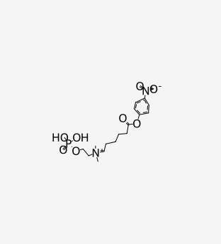 C[N+](C)(CCCCCC(=O)Oc1ccc([N+](=O)[O-])cc1)CCOP(=O)(O)O